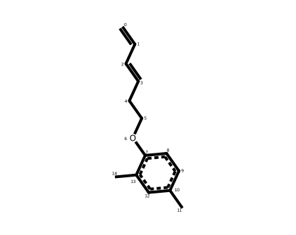 C=C/C=C/CCOc1ccc(C)cc1C